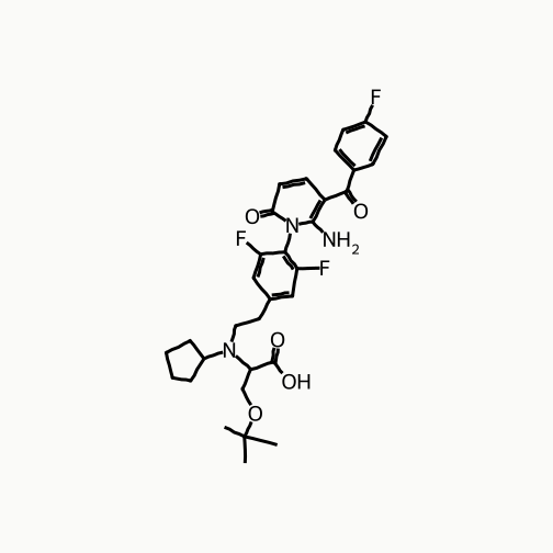 CC(C)(C)OCC(C(=O)O)N(CCc1cc(F)c(-n2c(N)c(C(=O)c3ccc(F)cc3)ccc2=O)c(F)c1)C1CCCC1